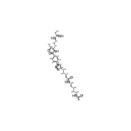 CCC(=N)NCCCC(NC(=O)c1ccc(-n2cc(CCCCC(=O)NCCCCCNC(C)=O)nn2)cc1)C(C)=O